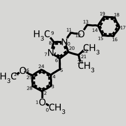 COc1cc(Cc2nc(C)n(COCc3ccccc3)c2C(C)C)cc(OC)c1